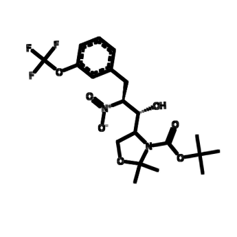 CC(C)(C)OC(=O)N1C([C@@H](O)[C@H](Cc2cccc(OC(F)(F)F)c2)[N+](=O)[O-])COC1(C)C